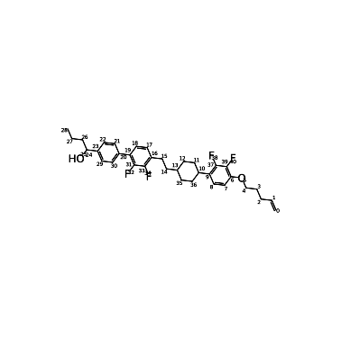 C=CCCCOc1ccc(C2CCC(CCc3ccc(-c4ccc(C(O)CCC)cc4)c(F)c3F)CC2)c(F)c1F